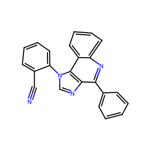 N#Cc1ccccc1-n1cnc2c(-c3ccccc3)nc3ccccc3c21